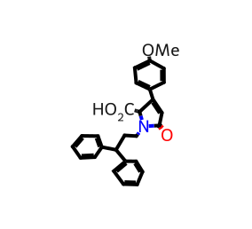 COc1ccc(C2=CC(=O)N(CCC(c3ccccc3)c3ccccc3)C2C(=O)O)cc1